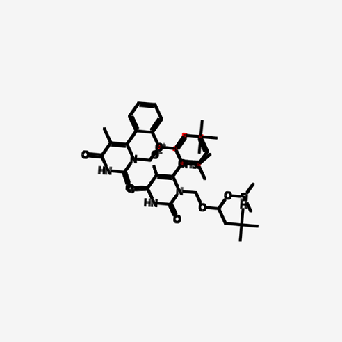 Cc1c(-c2ccccc2[S+]([O-])c2ccccc2-c2c(C)c(=O)[nH]c(=O)n2COC(CC(C)(C)C)O[SiH](C)C)n(COC(CC(C)(C)C)O[SiH](C)C)c(=O)[nH]c1=O